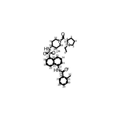 CCN1CCC[C@H]1C(=O)N1CC[C@H](NS(=O)(=O)c2cccc3c(NC(=O)c4ccccc4C)cccc23)[C@@H](C)C1